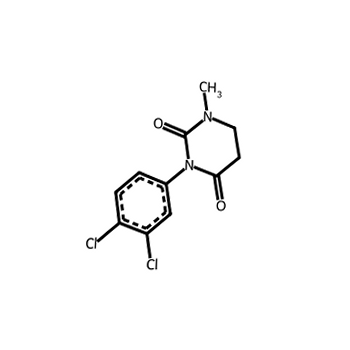 CN1CCC(=O)N(c2ccc(Cl)c(Cl)c2)C1=O